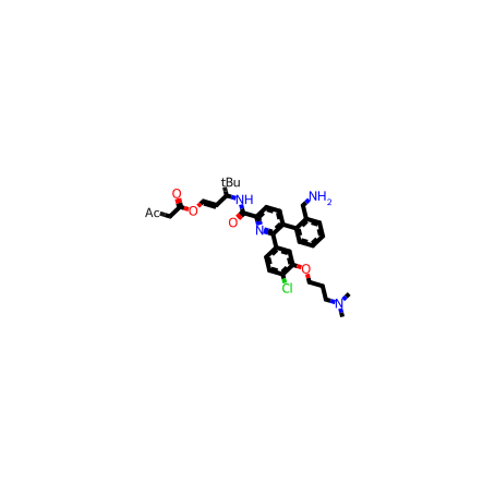 CC(=O)CC(=O)OC=CC(NC(=O)c1ccc(-c2ccccc2CN)c(-c2ccc(Cl)c(OCCCN(C)C)c2)n1)C(C)(C)C